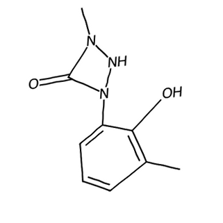 Cc1cccc(-n2[nH]n(C)c2=O)c1O